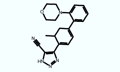 CC1CC(c2ccccc2N2CCOCC2)=CC=C1c1nn[nH]c1C#N